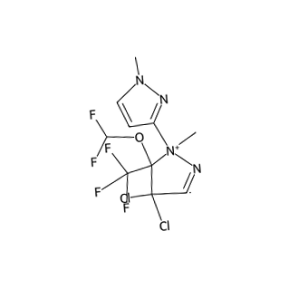 Cn1ccc([N+]2(C)N=[C]C(Cl)(Cl)C2(OC(F)F)C(F)(F)F)n1